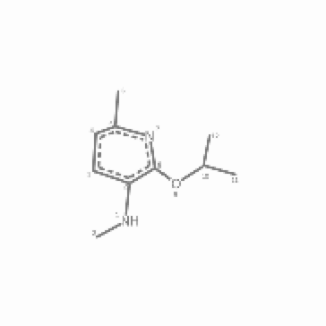 CNc1ccc(C)nc1OC(C)C